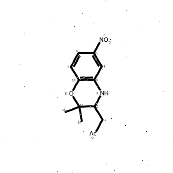 CC(=O)CC1Nc2cc([N+](=O)[O-])ccc2OC1(C)C